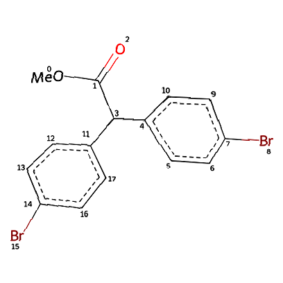 COC(=O)C(c1ccc(Br)cc1)c1ccc(Br)cc1